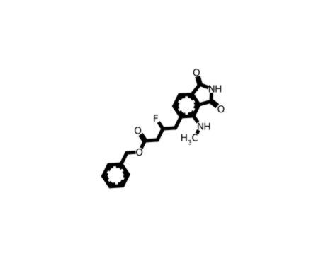 CNc1c(CC(F)CC(=O)OCc2ccccc2)ccc2c1C(=O)NC2=O